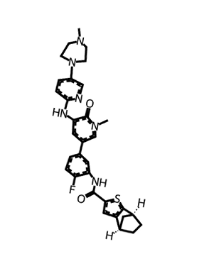 CN1CCN(c2ccc(Nc3cc(-c4ccc(F)c(NC(=O)c5cc6c(s5)[C@H]5CC[C@@H]6C5)c4)cn(C)c3=O)nc2)CC1